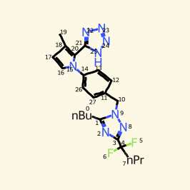 CCCCc1nc(C(F)(F)CCC)nn1Cc1ccc(-n2ccc(C)c2-c2nnn[nH]2)cc1